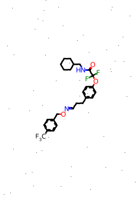 O=C(NCC1CCCCC1)C(F)(F)Oc1ccc(CCC=NOCc2ccc(C(F)(F)F)cc2)cc1